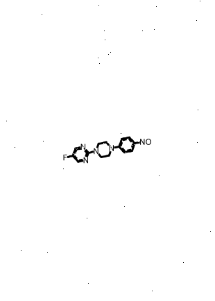 O=Nc1ccc(N2CCN(c3ncc(F)cn3)CC2)cc1